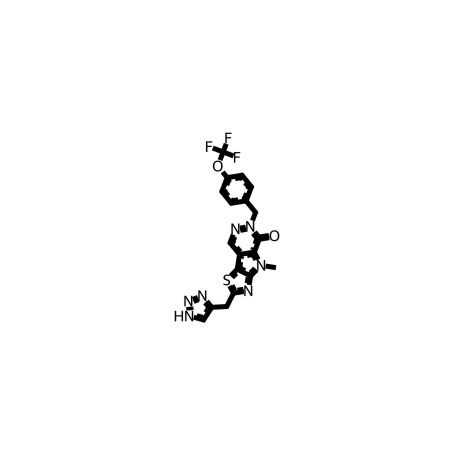 Cn1c2nc(Cc3c[nH]nn3)sc2c2cnn(Cc3ccc(OC(F)(F)F)cc3)c(=O)c21